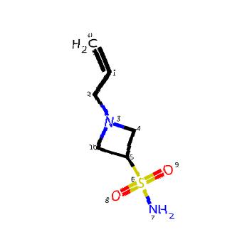 C=CCN1CC(S(N)(=O)=O)C1